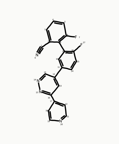 N#Cc1cccc(F)c1-c1cc(-c2cnnc(-c3ccncc3)c2)ccc1F